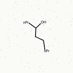 [CH2]CCC(O)CCCCC